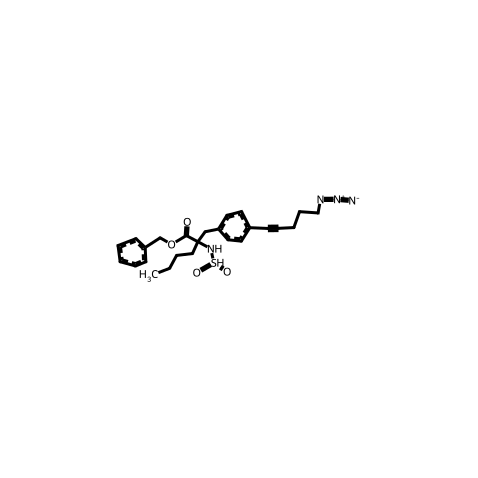 CCCCC(Cc1ccc(C#CCCCN=[N+]=[N-])cc1)(N[SH](=O)=O)C(=O)OCc1ccccc1